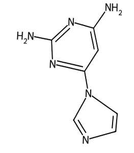 Nc1cc(-n2ccnc2)nc(N)n1